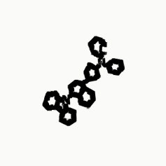 c1ccc(N(c2ccccc2)c2ccc(-c3ccc(-n4c5ccccc5c5ccccc54)c4ccccc34)cc2)cc1